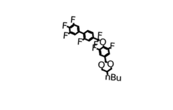 CCCCC1COC(c2cc(F)c(OC(F)(F)c3ccc(-c4cc(F)c(F)c(F)c4)c(F)c3)c(F)c2)OC1